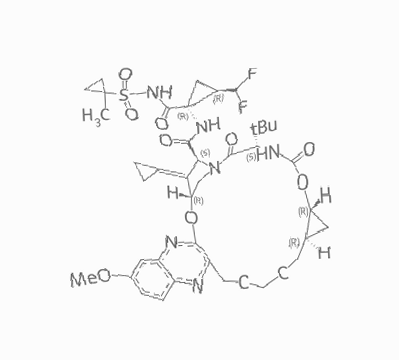 COc1ccc2nc3c(nc2c1)O[C@H]1CN(C(=O)[C@H](C(C)(C)C)NC(=O)O[C@@H]2C[C@H]2CCCCC3)[C@H](C(=O)N[C@]2(C(=O)NS(=O)(=O)C3(C)CC3)C[C@H]2C(F)F)C1=C1CC1